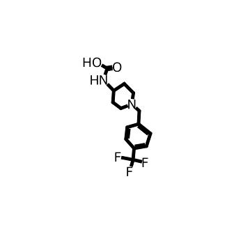 O=C(O)NC1CCN(Cc2ccc(C(F)(F)F)cc2)CC1